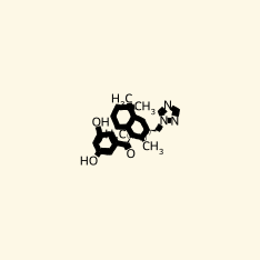 C[C@@H]1[C@@H](Cn2cncn2)CC2C(C)(C)CCC[C@]2(C)[C@H]1C(=O)c1cc(O)cc(O)c1